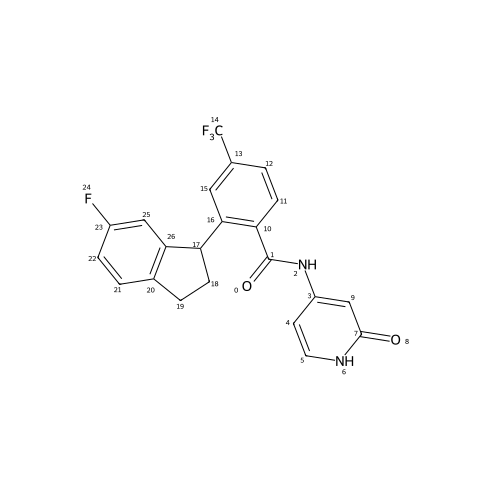 O=C(Nc1cc[nH]c(=O)c1)c1ccc(C(F)(F)F)cc1C1CCc2ccc(F)cc21